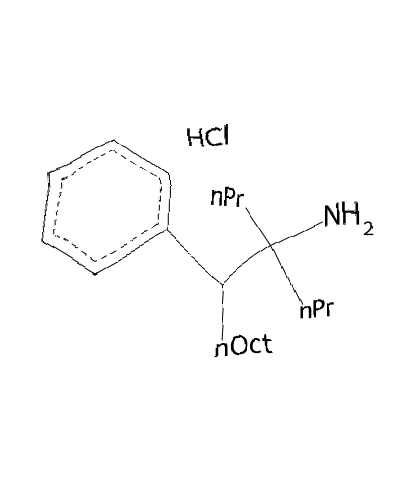 CCCCCCCCC(c1ccccc1)C(N)(CCC)CCC.Cl